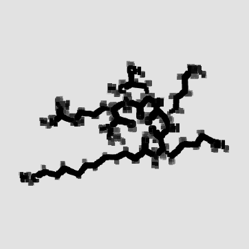 CCCCCCCCCCCC(=O)N[C@@H](CCCCN)C(=O)N[C@@H](CCCCN)C(=O)N[C@@H](CC(C)C)C(=O)N[C@@H](CCCNC(=N)N)C(=O)NC